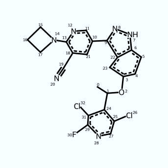 CC(Oc1ccc2[nH]nc(-c3cnc(N4CCC4)c(C#N)c3)c2c1)c1c(Cl)cnc(F)c1Cl